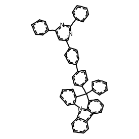 c1ccc(-c2cc(-c3ccc(-c4ccc(C5(c6ccccc6)c6ccccc6-n6c7ccccc7c7cccc5c76)cc4)cc3)nc(-c3ccccc3)n2)cc1